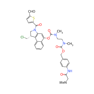 CNCC(=O)Nc1ccc(COC(=O)N(C)CCN(C)C(=O)Oc2cc3c(c4ccccc24)[C@H](CCl)CN3C(=O)c2ccc(C=O)s2)cc1